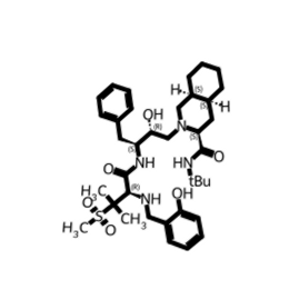 CC(C)(C)NC(=O)[C@@H]1C[C@@H]2CCCC[C@@H]2CN1C[C@@H](O)[C@H](Cc1ccccc1)NC(=O)[C@@H](NCc1ccccc1O)C(C)(C)S(C)(=O)=O